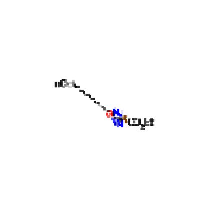 CCCCCCCCC=CCCCCCCCCCCCCOc1c2ncnc(SCC(=O)OCC)c2nn1C